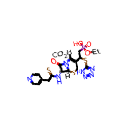 CCOP(=O)(O)CC(Sc1nnn[nH]1)C1=C(C(=O)O)N2C(=O)[C@@H](NC(=S)Cc3ccncc3)[C@@H]2SC1